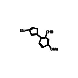 COc1ccc(C2=CC(C(C)(C)C)=CC2)c(C=O)c1